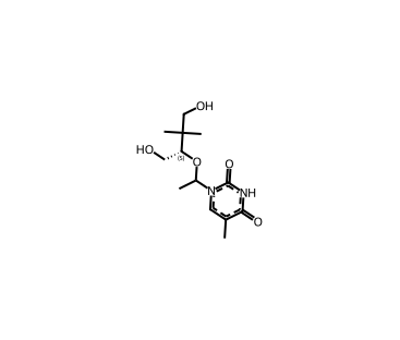 Cc1cn(C(C)O[C@H](CO)C(C)(C)CO)c(=O)[nH]c1=O